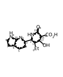 CCc1c(-c2ccc3cc[nH]c3n2)[nH]c(=O)c(C(=O)O)c1O